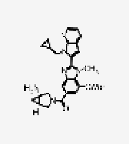 COc1cc(C(=O)N2C[C@H]3C[C@@]3(N)C2)cc2nc(-c3cc4cccnc4n3CC3CC3)n(C)c12